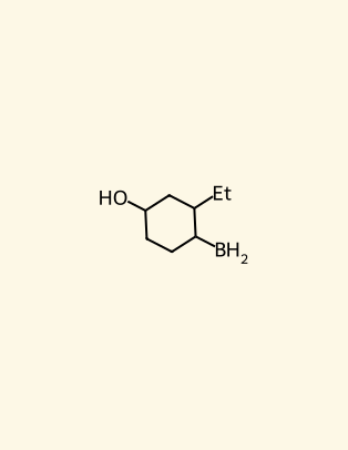 BC1CCC(O)CC1CC